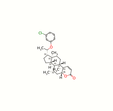 CC(Oc1cccc(Cl)c1)[C@H]1CC[C@H]2[C@@H]3[C@@H](C)C[C@H]4OC(=O)C=C[C@]4(C)[C@H]3CC[C@]12C